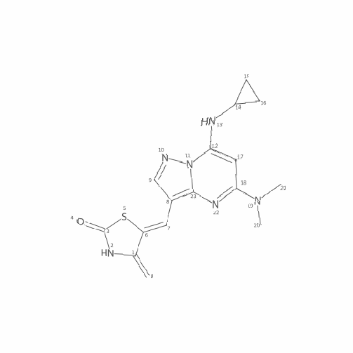 C=c1[nH]c(=O)s/c1=C\c1cnn2c(NC3CC3)cc(N(C)C)nc12